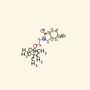 CC(C)(C)[Si](C)(C)OCCN1Cc2cc(Br)ccc2C1=O